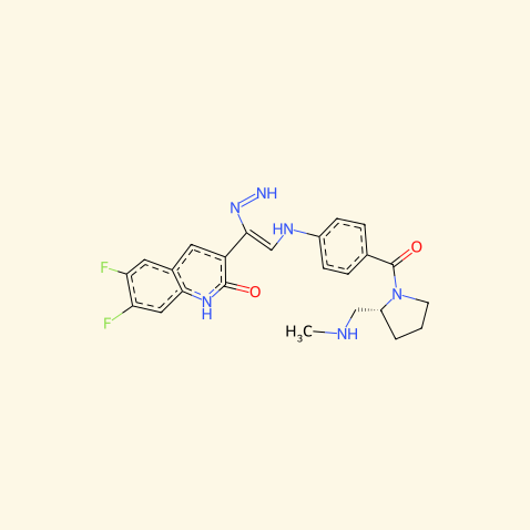 CNC[C@H]1CCCN1C(=O)c1ccc(N/C=C(\N=N)c2cc3cc(F)c(F)cc3[nH]c2=O)cc1